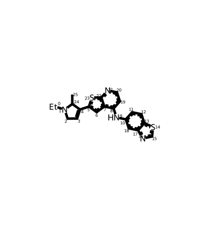 CCN1CC=C(c2cc3c(Nc4ccc5scnc5c4)ccnc3s2)C1C